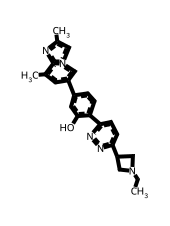 CCN1CC(c2ccc(-c3ccc(-c4cc(C)c5nc(C)cn5c4)cc3O)nn2)C1